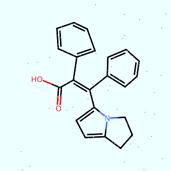 O=C(O)C(=C(c1ccccc1)c1ccc2n1CCC2)c1ccccc1